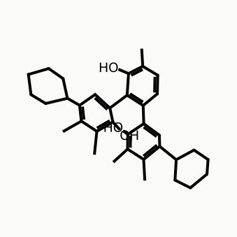 Cc1ccc(-c2cc(C3CCCCC3)c(C)c(C)c2O)c(-c2cc(C3CCCCC3)c(C)c(C)c2O)c1O